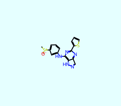 C[S+]([O-])c1cccc(Nc2nc(-c3cccs3)nc3cn[nH]c23)c1